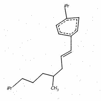 CC(C)CCCC(C)CC=Cc1ccc(C(C)C)cc1